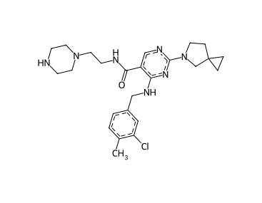 Cc1ccc(CNc2nc(N3CCC4(CC4)C3)ncc2C(=O)NCCN2CCNCC2)cc1Cl